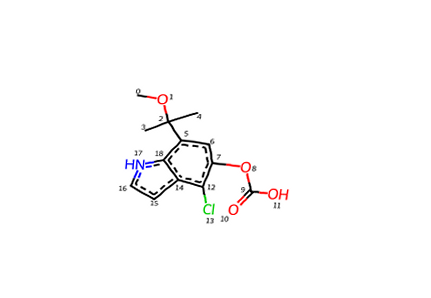 COC(C)(C)c1cc(OC(=O)O)c(Cl)c2cc[nH]c12